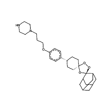 c1cc([C@H]2CC[C@]3(CC2)OO[C@]2(O3)C3CC4CC(C3)CC2C4)ccc1OCCCN1CCNCC1